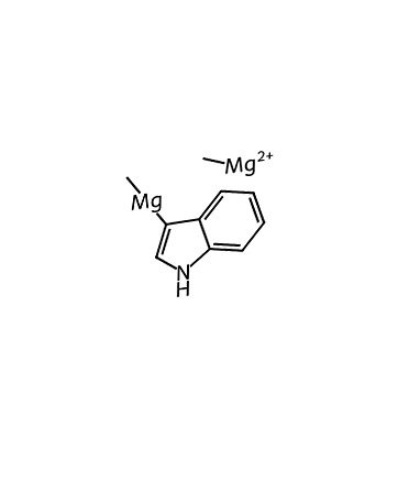 [CH3][Mg+2].[CH3][Mg][c]1c[nH]c2ccccc12